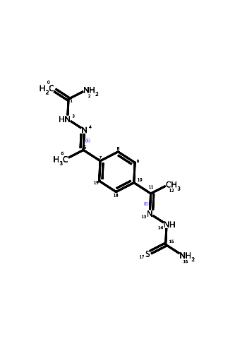 C=C(N)N/N=C(\C)c1ccc(/C(C)=N/NC(N)=S)cc1